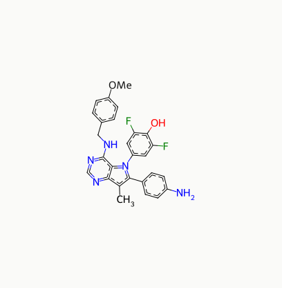 COc1ccc(CNc2ncnc3c(C)c(-c4ccc(N)cc4)n(-c4cc(F)c(O)c(F)c4)c23)cc1